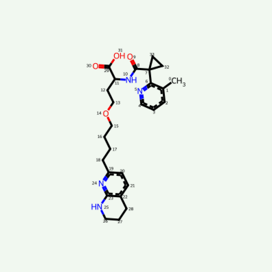 Cc1cccnc1C1(C(=O)NC(CCOCCCCc2ccc3c(n2)NCCC3)C(=O)O)CC1